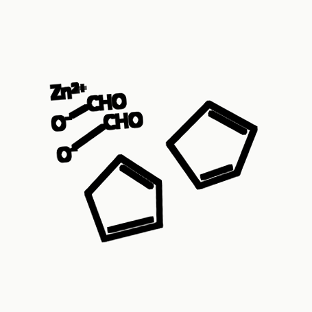 C1=CCC=C1.C1=CCC=C1.O=C[O-].O=C[O-].[Zn+2]